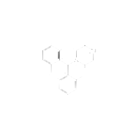 Clc1ccccc1C(c1ccccc1Cl)N1CCNCC1